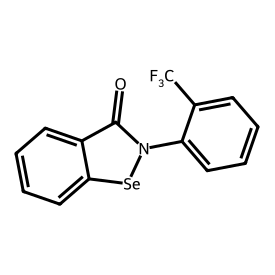 O=c1c2ccccc2[se]n1-c1ccccc1C(F)(F)F